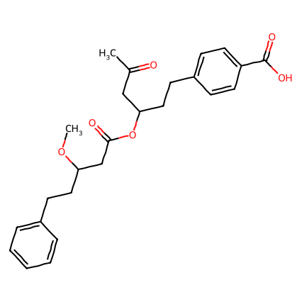 COC(CCc1ccccc1)CC(=O)OC(CCc1ccc(C(=O)O)cc1)CC(C)=O